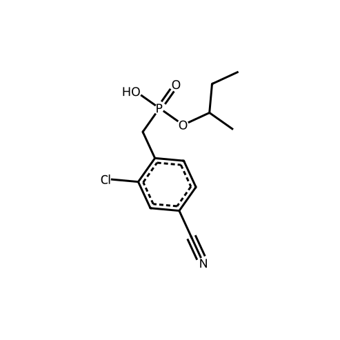 CCC(C)OP(=O)(O)Cc1ccc(C#N)cc1Cl